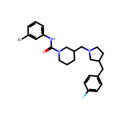 CC(=O)c1cccc(NC(=O)N2CCCC(CN3CCC(Cc4ccc(F)cc4)C3)C2)c1